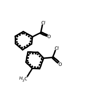 Cc1cccc(C(=O)Cl)c1.O=C(Cl)c1ccccc1